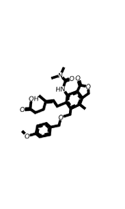 COc1ccc(COCc2c(C)c3c(c(NC(=O)N(C)C)c2CC=C(C)CCC(=O)O)C(=O)OC3)cc1